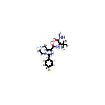 CNC(=O)C(NC(=O)c1nc(-c2ccc(F)cc2)n2c1CNCC2)C(C)(C)C